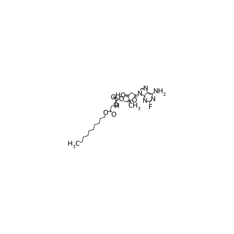 CCCCCCCCCCOC(=O)CO[PH](=O)OC[C@@]1(C)O[C@@H](n2cnc3c(N)nc(F)nc32)C[C@@H]1O